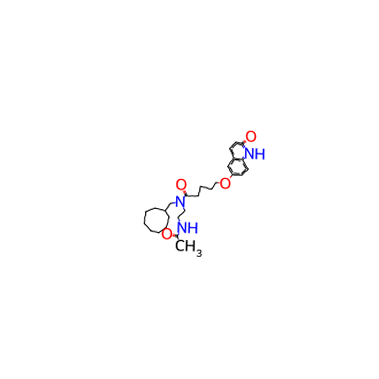 CC(=O)NCCN(CC1CCCCCCC1)C(=O)CCCCOc1ccc2[nH]c(=O)ccc2c1